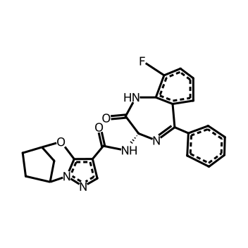 O=C(N[C@H]1N=C(c2ccccc2)c2cccc(F)c2NC1=O)c1cnn2c1OC1CCC2C1